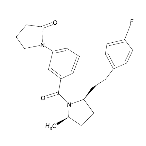 C[C@@H]1CC[C@H](CCc2ccc(F)cc2)N1C(=O)c1cccc(N2CCCC2=O)c1